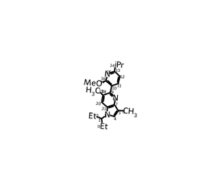 CCC(CC)n1cc(C)c2nc(-c3ccc(C(C)C)nc3OC)c(C)cc21